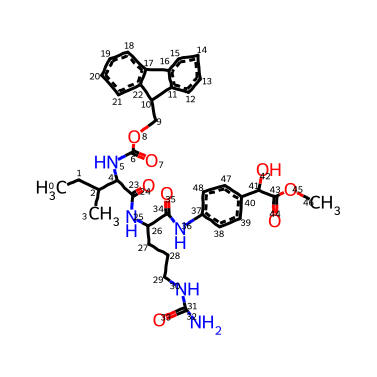 CCC(C)C(NC(=O)OCC1c2ccccc2-c2ccccc21)C(=O)NC(CCCNC(N)=O)C(=O)Nc1ccc(C(O)C(=O)OC)cc1